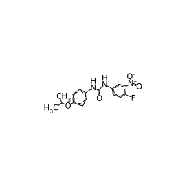 CC(C)Oc1ccc(NC(=O)Nc2ccc(F)c([N+](=O)[O-])c2)cc1